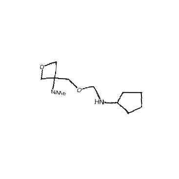 CNC1(COCNC2CCCC2)COC1